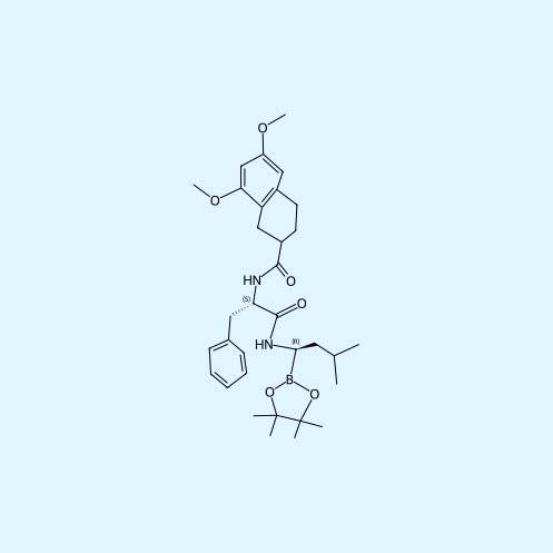 COc1cc2c(c(OC)c1)CC(C(=O)N[C@@H](Cc1ccccc1)C(=O)N[C@@H](CC(C)C)B1OC(C)(C)C(C)(C)O1)CC2